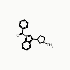 CN1CCC(c2cn(C(=O)c3ccccc3)c3ccccc23)C1